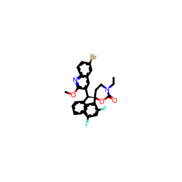 CCN1CC[C@](c2ccc(F)cc2F)(C(c2ccccc2)c2cc3cc(Br)ccc3nc2OC)OC1=O